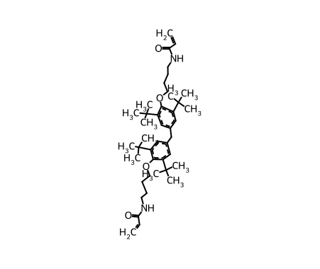 C=CC(=O)NCCCCOc1c(C(C)(C)C)cc(Cc2cc(C(C)(C)C)c(OCCCCNC(=O)C=C)c(C(C)(C)C)c2)cc1C(C)(C)C